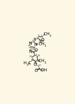 Cc1cc(Sc2ncc3nc(-c4cc(C)c(OCC(=O)O)c(C)c4)oc3n2)c(C)o1